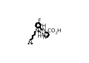 CN(C)CCCCCN1NC(Nc2nnccc2C(=O)O)c2cc(F)ccc21